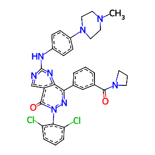 CN1CCN(c2ccc(Nc3ncc4c(=O)n(-c5c(Cl)cccc5Cl)nc(-c5cccc(C(=O)N6CCC6)c5)c4n3)cc2)CC1